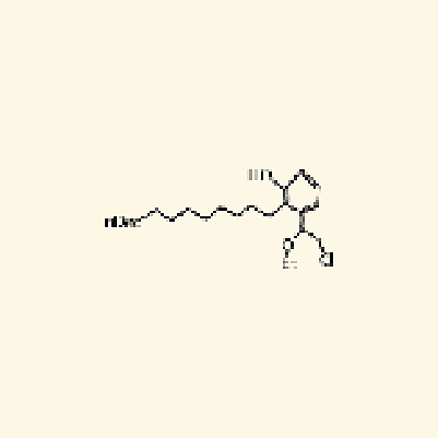 CCCCCCCCCCCCCCCCCCc1c(O)cccc1C(CCl)OCC